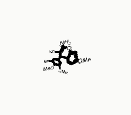 COc1ccc2c(c1)OC(N)=C(C#N)C2c1cc(Br)c(OC)c(OC)c1